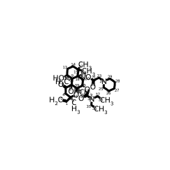 C=C[C@@]1(C)CC(=O)[C@]2(O)[C@@]3(C)[C@@H](O)CCC(C)(C)[C@@H]3[C@H](OC(=O)CN3CCCCC3)[C@H](OC(=O)N(CC)CC)[C@@]2(C)O1